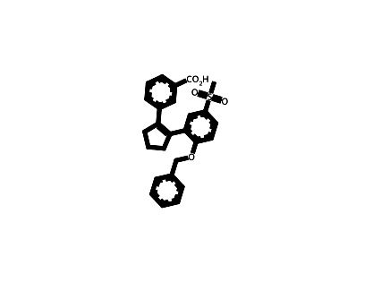 CS(=O)(=O)c1ccc(OCc2ccccc2)c(C2=C(c3cccc(C(=O)O)c3)CCC2)c1